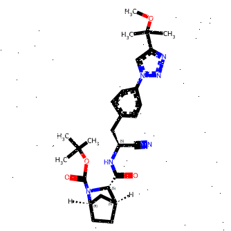 COC(C)(C)c1cn(-c2ccc(C[C@@H](C#N)NC(=O)[C@@H]3[C@H]4CC[C@H](C4)N3C(=O)OC(C)(C)C)cc2)nn1